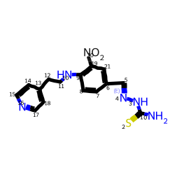 NC(=S)N/N=C/c1ccc(NCCc2ccncc2)c([N+](=O)[O-])c1